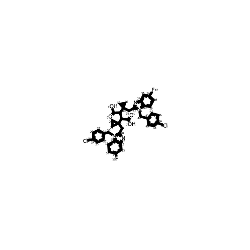 O=C(O)C(C(C(=O)O)C1(Cc2nc3cc(F)ccc3n2Cc2ccc(Cl)cc2)CC1)C1(Cc2nc3cc(F)ccc3n2Cc2ccc(Cl)cc2)CC1